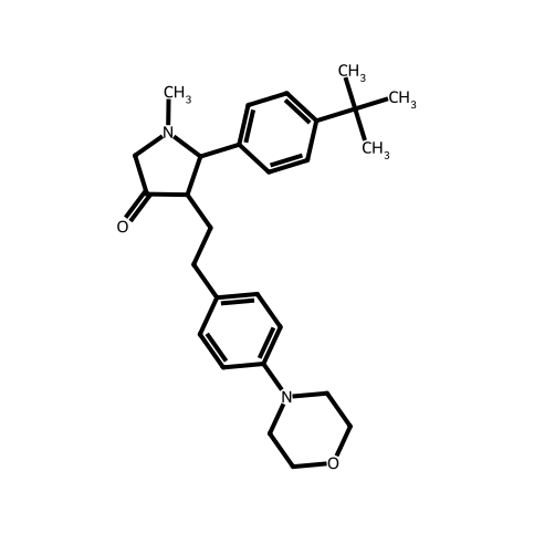 CN1CC(=O)C(CCc2ccc(N3CCOCC3)cc2)C1c1ccc(C(C)(C)C)cc1